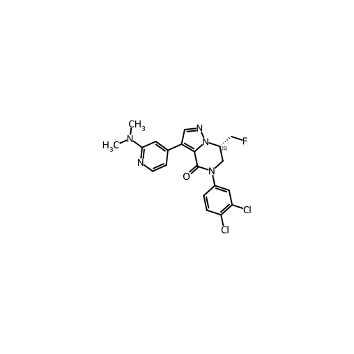 CN(C)c1cc(-c2cnn3c2C(=O)N(c2ccc(Cl)c(Cl)c2)C[C@H]3CF)ccn1